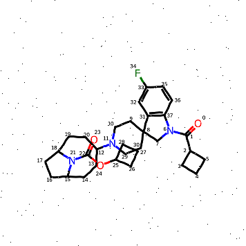 O=C(C1CCC1)N1CC2(CCN(C3CCC4CCC(CC3)N4C(=O)OC3CCC3)CC2)c2cc(F)ccc21